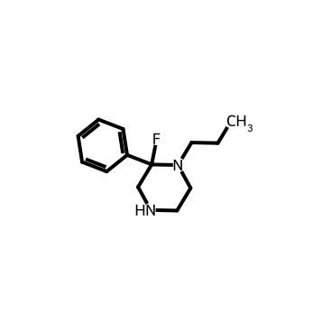 CCCN1CCNCC1(F)c1ccccc1